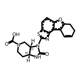 O=C(O)N1CC[C@H]2NC(=O)N(c3nc4c(ccc5oc6c(c54)C=CCC6)s3)[C@H]2C1